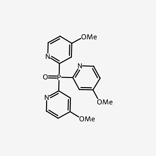 COc1ccnc(P(=O)(c2cc(OC)ccn2)c2cc(OC)ccn2)c1